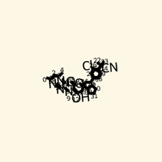 Cc1cc(C)n2nc(N(C)C3=C(O)CC(CCc4ccc(C(C)(C)C#N)c(Cl)c4)(C4CCCC4)OC3=O)nc2n1